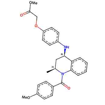 COC(=O)COc1ccc(N[C@@H]2C[C@H](C)N(C(=O)c3ccc(OC)cc3)c3ccccc32)cc1